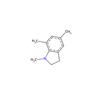 Cc1cc(C)c2c(c1)CCN2C